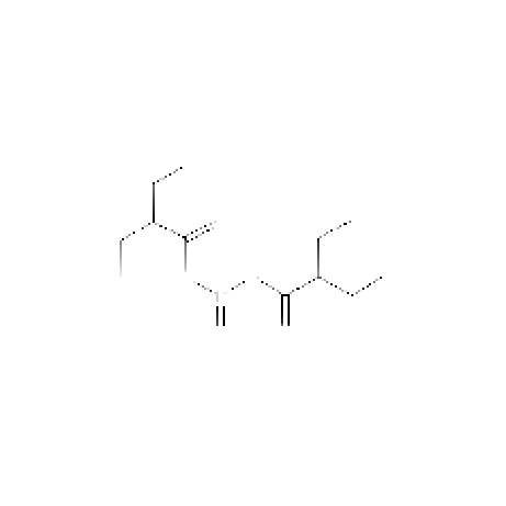 CCC(CC)C(=O)O[PH](=O)OC(=O)C(CC)CC